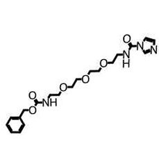 O=C(NCCOCCOCCOCCNC(=O)n1ccnc1)OCc1ccccc1